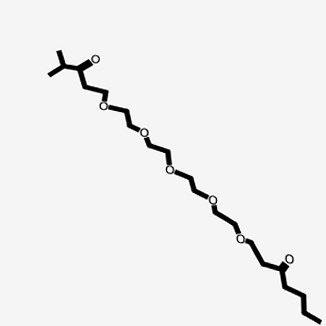 CCCCC(=O)CCOCCOCCOCCOCCOCCC(=O)C(C)C